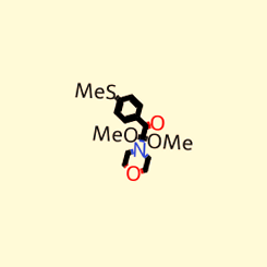 COC(OC)(C(=O)c1ccc(SC)cc1)N1CCOCC1